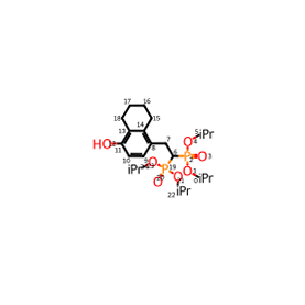 CC(C)OP(=O)(OC(C)C)C(Cc1ccc(O)c2c1CCCC2)P(=O)(OC(C)C)OC(C)C